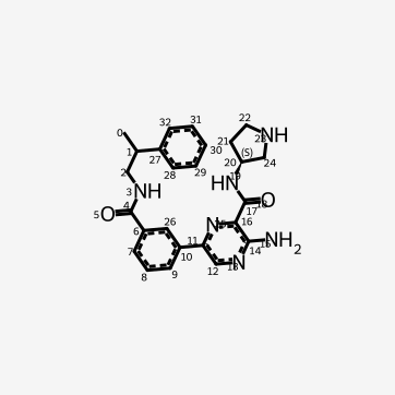 CC(CNC(=O)c1cccc(-c2cnc(N)c(C(=O)N[C@H]3CCNC3)n2)c1)c1ccccc1